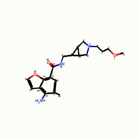 COCCCN1CC2C(CNC(=O)c3cc(C)c(N)c4ccoc34)C2C1